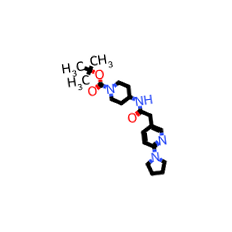 CC(C)(C)OC(=O)N1CCC(NC(=O)Cc2ccc(N3CCCC3)nc2)CC1